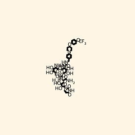 CC(=O)N[C@@H]1[C@@H](O[C@H]2O[C@H](OC(=O)N(C)C(C(N)=O)[C@H]3O[C@@H](n4ccc(=O)[nH]c4=O)C(O)[C@H]3O)C(O)[C@H](O)[C@H]2NC(=O)NCc2ccc(N3CCC(Oc4ccc(OC(F)(F)F)cc4)CC3)cc2)O[C@@H](CO)[C@@H](O)[C@H]1O